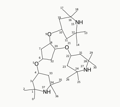 CC1(C)CC(OC2CC(OC3CC(C)(C)NC(C)(C)C3)C(OC3CC(C)(C)NC(C)(C)C3)C2)CC(C)(C)N1